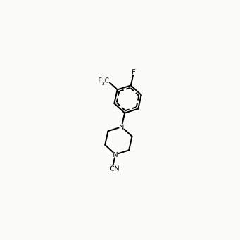 N#CN1CCN(c2ccc(F)c(C(F)(F)F)c2)CC1